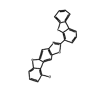 Clc1cccc2oc3cc4nc(-c5cccc6c5sc5ccccc56)oc4cc3c12